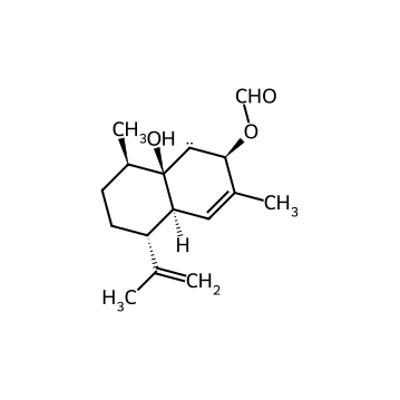 C=C(C)[C@@H]1CC[C@@H](C)[C@]2(O)[C][C@@H](OC=O)C(C)=C[C@@H]12